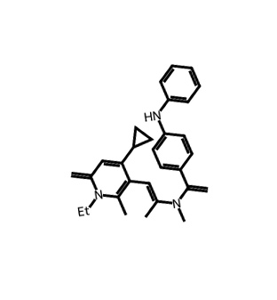 C=C1C=C(C2CC2)C(/C=C(\C)N(C)C(=C)c2ccc(Nc3ccccc3)cc2)=C(C)N1CC